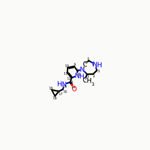 CC1CCNCCN1C1C=CC=C(C(=O)NCC2CC2)N1